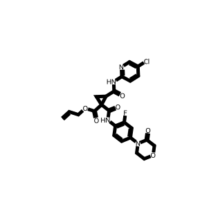 C=CCOC(=O)C1(C(=O)Nc2ccc(N3CCOCC3=O)cc2F)CC1C(=O)Nc1ccc(Cl)cn1